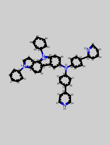 c1ccc(-n2ccc3c2ccc2c4cc(N(c5ccc(-c6ccncc6)cc5)c5ccc(-c6ccccn6)cc5)ccc4n(-c4ccccc4)c23)cc1